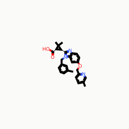 Cc1ccc(COc2ccc3nc([C@@H]4[C@H](C(=O)O)C4(C)C)n(Cc4cccc(C)c4)c3c2)nc1